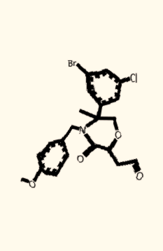 COc1ccc(CN2C(=O)C(CC=O)OCC2(C)c2cc(Cl)cc(Br)c2)cc1